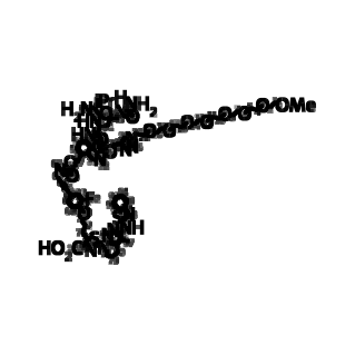 COCCOCCOCCOCCOCCOCCOCCOCCn1cc(COC(=O)N(C)Cc2cc(NC(=O)[C@H](CCCNC(N)=O)NC(=O)[C@@H](N)C(C)C)ccc2COC(=O)N(C)CC#Cc2ccc(OCCCc3sc(N4CCCc5c4nnc(Nc4nc6ccccc6s4)c5C)nc3C(=O)O)c(F)c2)nn1